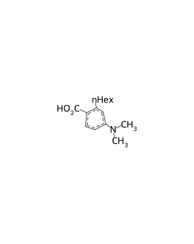 CCCCCCc1cc(N(C)C)ccc1C(=O)O